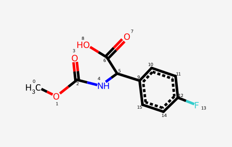 COC(=O)NC(C(=O)O)c1ccc(F)cc1